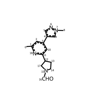 Cc1cc(-c2cnn(C)c2)cc(C2CCN(C=O)C2)n1